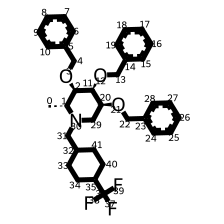 C[C@@H]1[C@@H](OCc2ccccc2)[C@H](OCc2ccccc2)[C@@H](OCc2ccccc2)CN1CC1CCC(C(F)(F)F)CC1